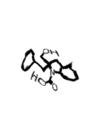 O=C(O)N1c2ccccc2CC1(CO)Cc1ccccc1